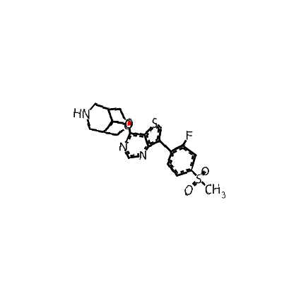 CS(=O)(=O)c1ccc(-c2csc3c(OC4C5CNCC4COC5)ncnc23)c(F)c1